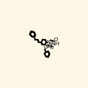 O=C1CN(c2ccc(/C=C/Cc3ccccc3)cc2OCc2ccccc2)S(=O)(=O)N1